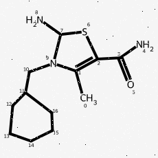 CC1=C(C(N)=O)SC(N)N1CC1CCCCC1